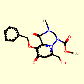 CCN1CN(C(=O)OC(C)(C)C)n2c(CO)cc(=O)c(OCc3ccccc3)c2C1=O